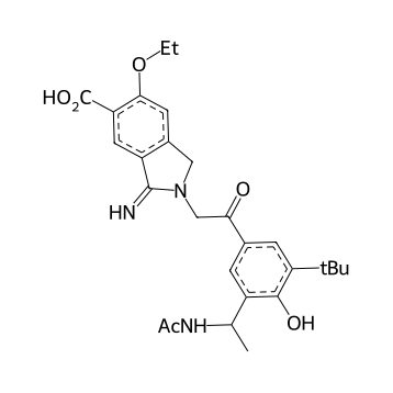 CCOc1cc2c(cc1C(=O)O)C(=N)N(CC(=O)c1cc(C(C)NC(C)=O)c(O)c(C(C)(C)C)c1)C2